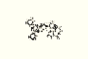 N#Cc1cccc2c1C1(CCCCC1)c1cccc(C3=CC=C(c4nc(-c5ccccc5)nc(-c5ccccc5)n4)CC3)c1-2